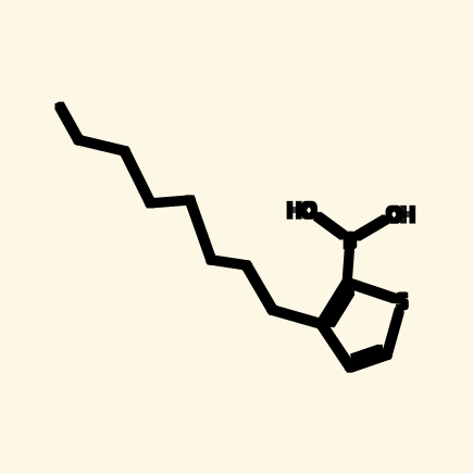 CCCCCCCCc1ccsc1B(O)O